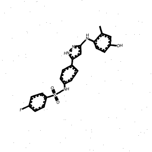 Cc1cc(O)ccc1Nc1cc(-c2ccc(NS(=O)(=O)c3ccc(F)cc3)cc2)[nH]n1